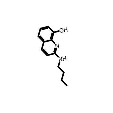 CCCCNc1ccc2cccc(O)c2n1